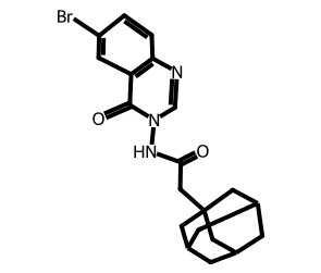 O=C(CC12CC3CC(CC(C3)C1)C2)Nn1cnc2ccc(Br)cc2c1=O